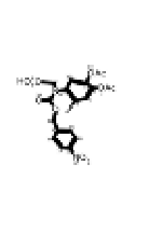 CC(=O)Oc1cc(F)c(N(CC(=O)O)C(=O)OCc2ccc([N+](=O)[O-])cc2)cc1OC(C)=O